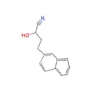 N#CC(O)CCc1ccc2ccccc2c1